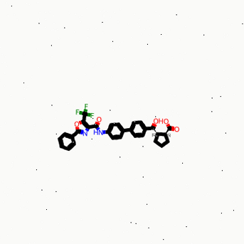 O=C(Nc1ccc(-c2ccc(C(=O)[C@H]3CCC[C@@H]3C(=O)O)cc2)cc1)c1nc(-c2ccccc2)oc1C(F)(F)F